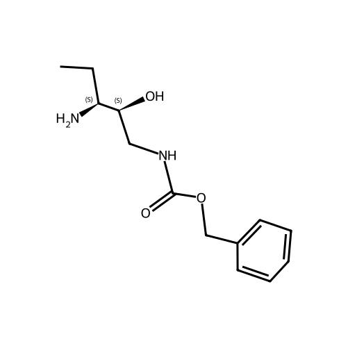 CC[C@H](N)[C@@H](O)CNC(=O)OCc1ccccc1